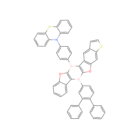 c1ccc(-c2ccc(B3c4oc5cc6sccc6cc5c4B(c4ccc(N5c6ccccc6Sc6ccccc65)cc4)c4oc5ccccc5c43)cc2-c2ccccc2)cc1